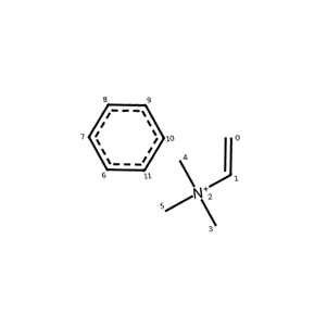 C=C[N+](C)(C)C.c1ccccc1